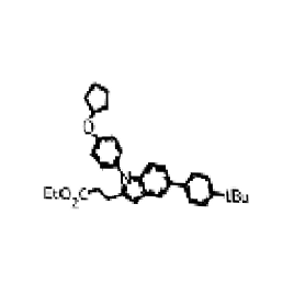 CCOC(=O)CCc1cc2cc(-c3ccc(C(C)(C)C)cc3)ccc2n1-c1ccc(OC2CCCC2)cc1